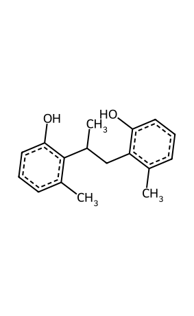 Cc1cccc(O)c1CC(C)c1c(C)cccc1O